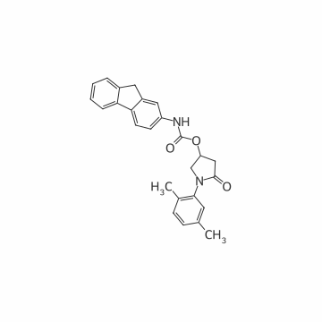 Cc1ccc(C)c(N2CC(OC(=O)Nc3ccc4c(c3)Cc3ccccc3-4)CC2=O)c1